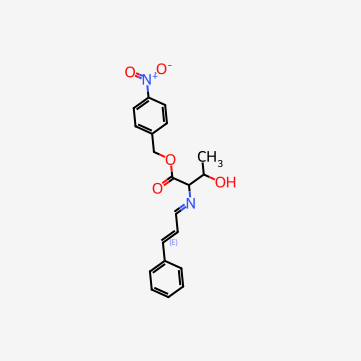 CC(O)C(N=C/C=C/c1ccccc1)C(=O)OCc1ccc([N+](=O)[O-])cc1